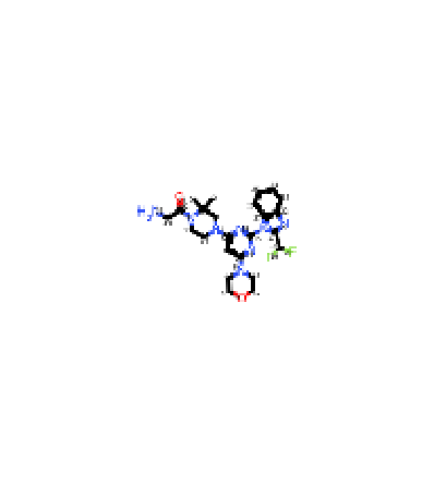 CC1(C)CN(c2cc(N3CCOCC3)nc(-n3c(C(F)F)nc4ccccc43)n2)CCN1C(=O)CN